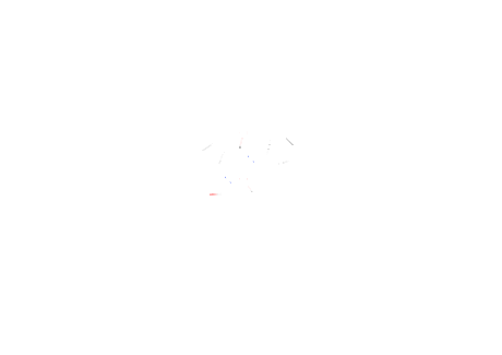 COC(=O)C1CCCCC1C(=O)Nc1sc2c(c1C(=O)Nc1ccc(Cl)cc1)CCCC2